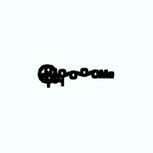 COCCOCCOCCOc1c(I)cc(I)c(C2OC3CCCCCCCC(CCC3)O2)c1C